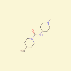 CN1CCC(NC(=O)N2CCC(C(C)(C)C)CC2)CC1